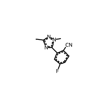 Cc1nc(-c2cc(F)ccc2C#N)n(C)n1